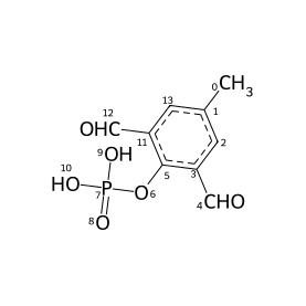 Cc1cc(C=O)c(OP(=O)(O)O)c(C=O)c1